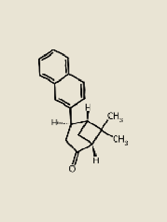 CC1(C)[C@@H]2C[C@H]1C(=O)C[C@H]2c1ccc2ccccc2c1